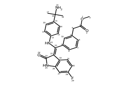 COC(=O)Cc1cccc(/C(Nc2ccc(C(C)(C)N)cc2)=C2/C(=O)Nc3cc(F)ccc32)c1